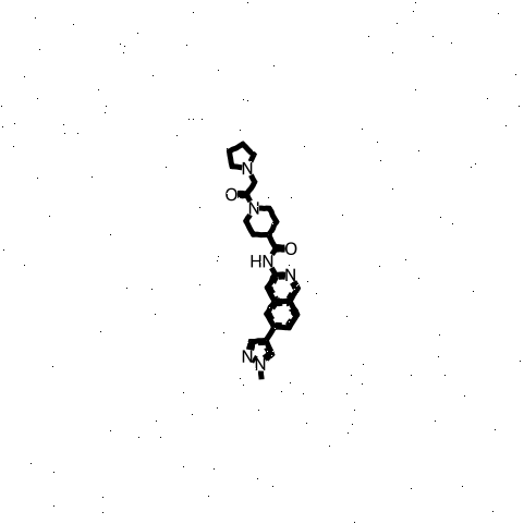 Cn1cc(-c2ccc3cnc(NC(=O)C4CCN(C(=O)CN5CCCC5)CC4)cc3c2)cn1